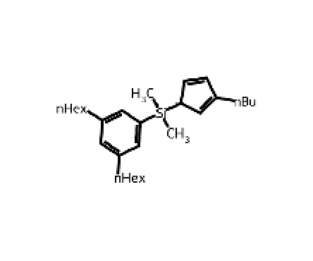 CCCCCCc1cc(CCCCCC)cc([Si](C)(C)[C]2C=CC(CCCC)=C2)c1